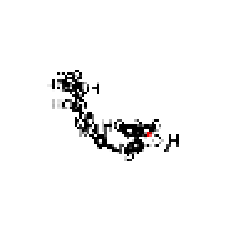 O=C(NCC#Cc1ccc(CNc2ncnc3c2ncn3[C@H]2C[C@@H](O)[C@@H](COP(=O)(O)OP(=O)(O)OP(=O)(O)O)O2)cc1)c1ccc(C(=O)O)c(-c2c3ccc(=O)cc-3oc3cc(O)ccc23)c1